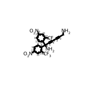 NCC#CC#CC(N)(c1ccc([N+](=O)[O-])cc1C(F)(F)F)c1ccc([N+](=O)[O-])cc1C(F)(F)F